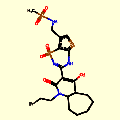 CC(C)CCN1C(=O)C(C2=NS(=O)(=O)c3c(CNS(C)(=O)=O)csc3N2)=C(O)C2CCCCCC21